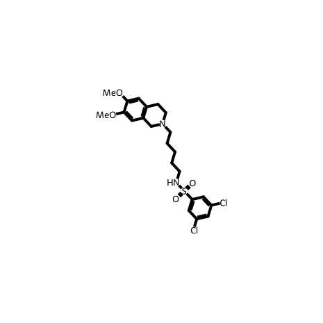 COc1cc2c(cc1OC)CN(CCCCCNS(=O)(=O)c1cc(Cl)cc(Cl)c1)CC2